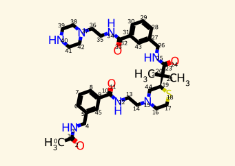 CC(=O)NCc1cccc(C(=O)NCCN2CCS[C@H](C(C)(C)C(=O)NCc3cccc(C(=O)NCCN4CCNCC4)c3)C2)c1